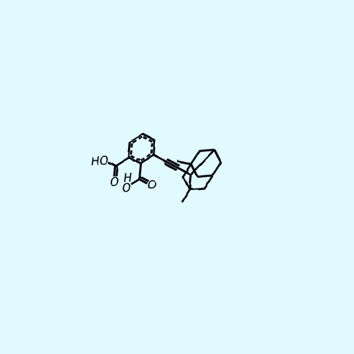 CC12CC3CC(C1)C(C#Cc1cccc(C(=O)O)c1C(=O)O)C(C)(C3)C2